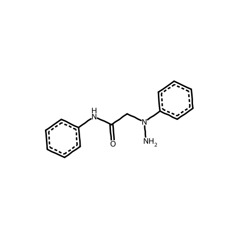 NN(CC(=O)Nc1ccccc1)c1ccccc1